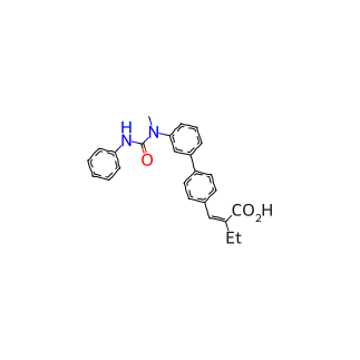 CC/C(=C/c1ccc(-c2cccc(N(C)C(=O)Nc3ccccc3)c2)cc1)C(=O)O